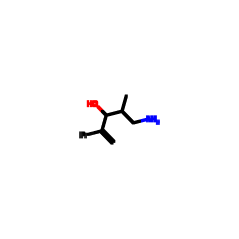 C=C(C(C)C)C(O)C(C)CN